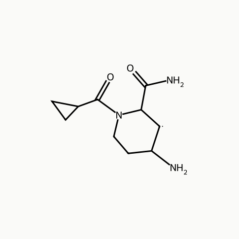 NC(=O)C1[CH]C(N)CCN1C(=O)C1CC1